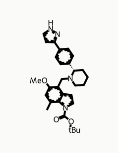 COc1cc(C)c2c(ccn2C(=O)OC(C)(C)C)c1CN1CCCC[C@H]1c1ccc(-c2cc[nH]n2)cc1